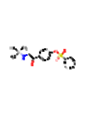 CC(C)(C)NCC(=O)c1ccc(OS(=O)(=O)c2ccccc2)cc1